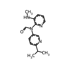 CNc1cccnc1N(C=O)c1ccc(C(C)C)nc1